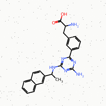 CC(Nc1nc(N)nc(-c2cccc(CC(N)C(=O)O)c2)n1)c1ccc2ccccc2c1